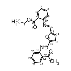 CCOC(=O)c1ccccc1N=Cc1ccc(C=Nc2ccccc2C(C)=O)o1